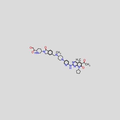 CC(=O)c1c(C)c2cnc(Nc3ccc(N4CCC(N(C)Cc5ccc6c(c5)CN(C5CCC(C(=O)C=O)NC5)C6=O)CC4)cn3)nc2n(C2CCCC2)c1=O